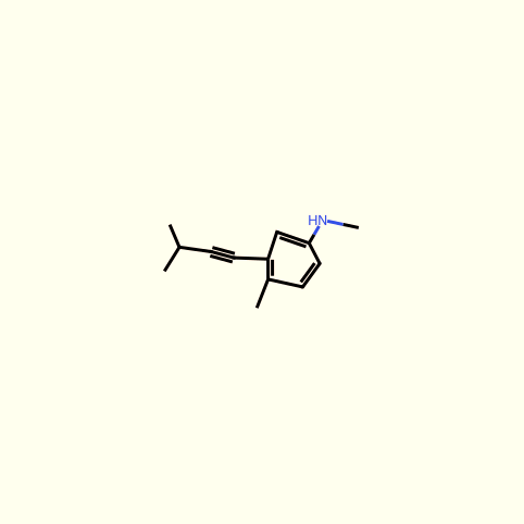 CNc1ccc(C)c(C#CC(C)C)c1